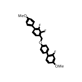 COc1ccc(-c2ccc(COc3ccc(-c4ccc(OC)cc4F)cc3)c(F)c2F)cc1